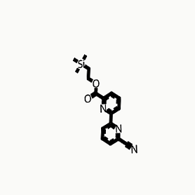 C[Si](C)(C)CCOC(=O)c1cccc(-c2cccc(C#N)n2)n1